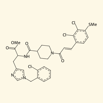 COC(=O)C(Cc1cn(Cc2ccccc2Cl)cn1)NC(=O)C1CCN(C(=O)C=Cc2ccc(SC)c(Cl)c2Cl)CC1